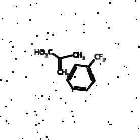 C=C(C)C(=O)O.FC(F)(F)c1ccccc1